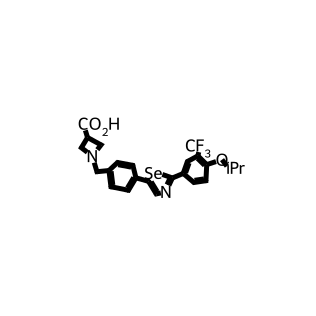 CC(C)Oc1ccc(-c2ncc(-c3ccc(CN4CC(C(=O)O)C4)cc3)[se]2)cc1C(F)(F)F